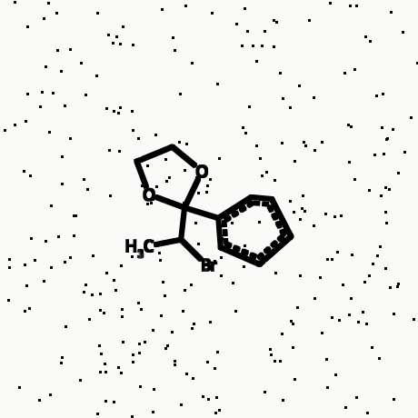 CC(Br)C1(c2ccccc2)OCCO1